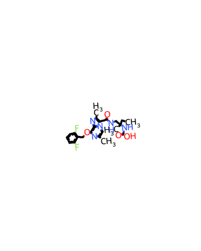 CCC(C)(CNC(=O)c1c(C)nc2c(OCc3c(F)cccc3F)nc(C)cn12)NC(=O)O